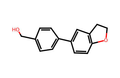 OCc1ccc(-c2ccc3c(c2)CCO3)cc1